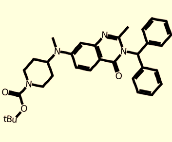 Cc1nc2cc(N(C)C3CCN(C(=O)OC(C)(C)C)CC3)ccc2c(=O)n1C(c1ccccc1)c1ccccc1